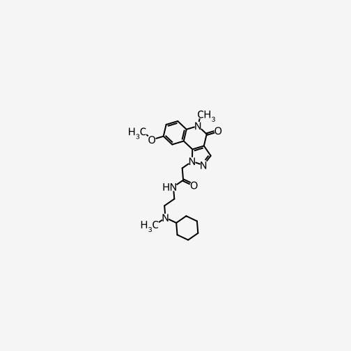 COc1ccc2c(c1)c1c(cnn1CC(=O)NCCN(C)C1CCCCC1)c(=O)n2C